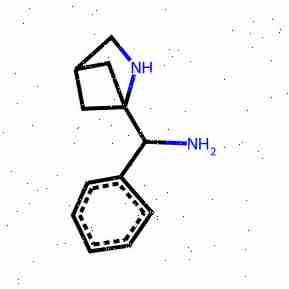 NC(c1ccccc1)C12CC(CN1)C2